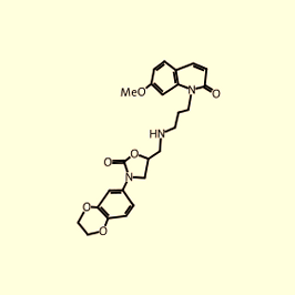 COc1ccc2ccc(=O)n(CCCNCC3CN(c4ccc5c(c4)OCCO5)C(=O)O3)c2c1